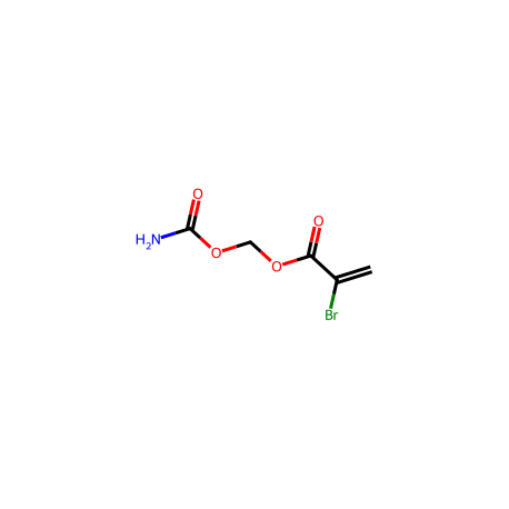 C=C(Br)C(=O)OCOC(N)=O